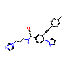 Cc1ccc(C#Cc2cc(C(=C=O)NCCCn3ccnc3)ccc2-n2cccn2)cc1